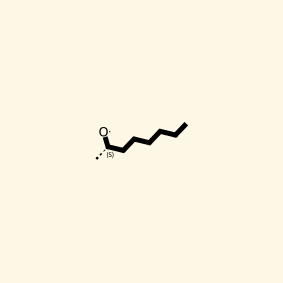 CCCCCC[C@H](C)[O]